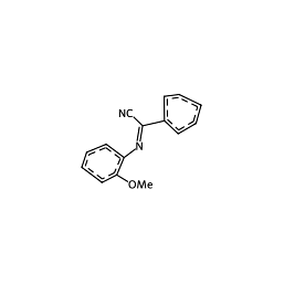 COc1ccccc1/N=C(\C#N)c1ccccc1